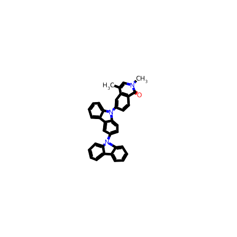 Cc1cn(C)c(=O)c2ccc(-n3c4ccccc4c4cc(-n5c6ccccc6c6ccccc65)ccc43)cc12